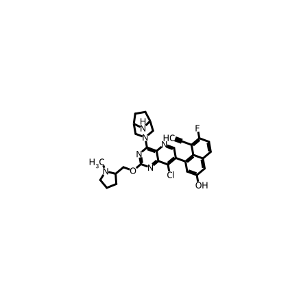 C#Cc1c(F)ccc2cc(O)cc(-c3cnc4c(N5CC6CCC(C5)N6)nc(OCC5CCCN5C)nc4c3Cl)c12